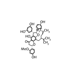 C=C(C)C(CC=C(C)C)Cc1c2c(c(O)c3c1O[C@H](c1ccc(O)cc1)[C@H]3c1cc(O)cc(O)c1)C(=O)C[C@@H](c1ccc(O)cc1OC)O2